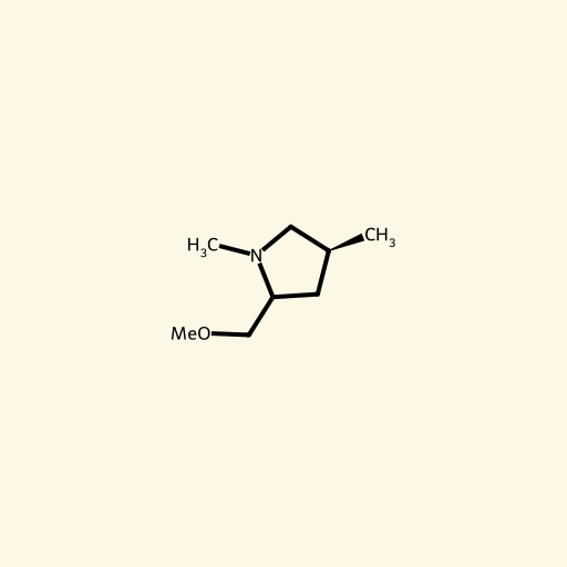 COCC1C[C@H](C)CN1C